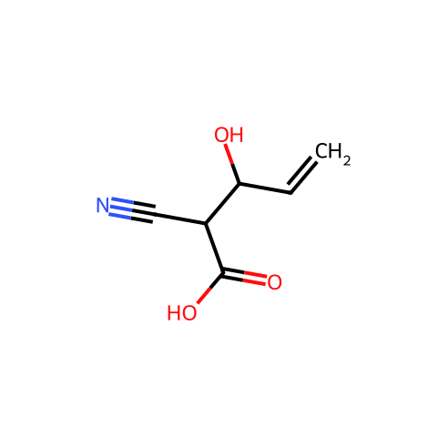 C=CC(O)C(C#N)C(=O)O